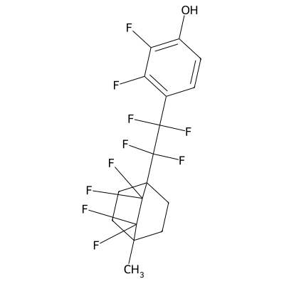 CC12CCC(C(F)(F)C(F)(F)c3ccc(O)c(F)c3F)(CC1)C(F)(F)C2(F)F